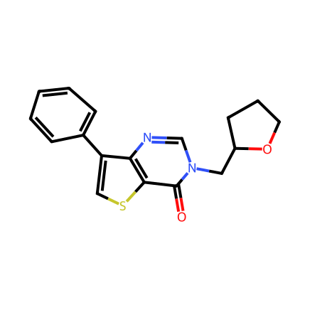 O=c1c2scc(-c3ccccc3)c2ncn1CC1CCCO1